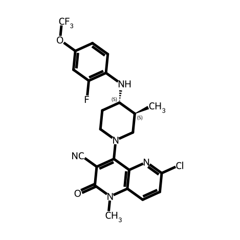 C[C@H]1CN(c2c(C#N)c(=O)n(C)c3ccc(Cl)nc23)CC[C@@H]1Nc1ccc(OC(F)(F)F)cc1F